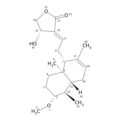 CO[C@@H]1CC[C@@]2(C)[C@H](C/C=C3/C(=O)OC[C@H]3O)C(C)=CC[C@@H]2[C@H]1C